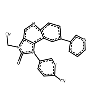 N#CCn1c(=O)n(-c2ccc(C#N)nc2)c2c3cc(-c4cccnc4)ccc3ncc21